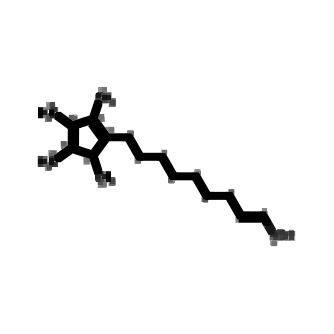 CCCCCCCCC=CCCCCCCCC1=C(C)C(C)=C(C)C1C